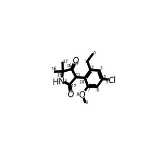 CCc1cc(Cl)cc(OC)c1C1C(=O)NC(C)(C)C1=O